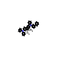 CC1(C)c2cc(N(c3ccccc3)c3ccccc3)ccc2-c2cc3c(cc21)N(c1cccc(-c2ccccc2)c1)C1=CC=CCC13